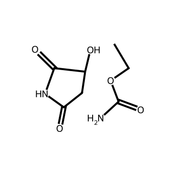 CCOC(N)=O.O=C1CC(O)C(=O)N1